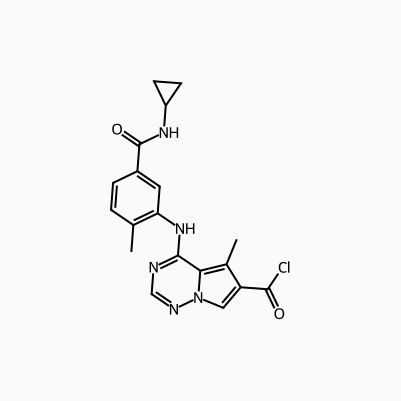 Cc1ccc(C(=O)NC2CC2)cc1Nc1ncnn2cc(C(=O)Cl)c(C)c12